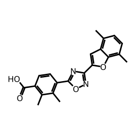 Cc1c(C(=O)O)ccc(-c2nc(-c3cc4c(C)ccc(C)c4o3)no2)c1C